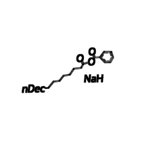 CCCCCCCCCCCCCCCCCC(=O)OC(=O)c1ccccc1.[NaH]